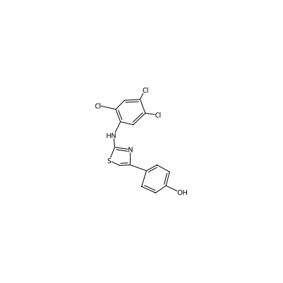 Oc1ccc(-c2csc(Nc3cc(Cl)c(Cl)cc3Cl)n2)cc1